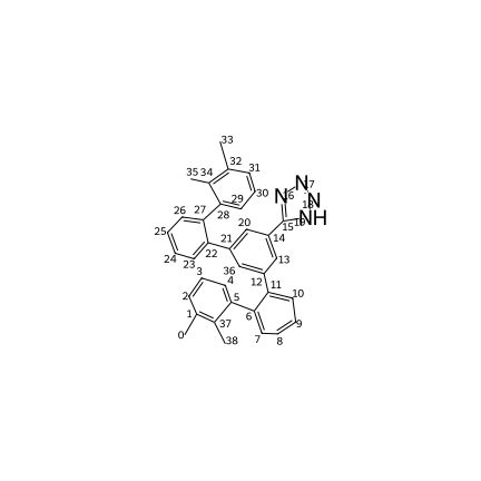 Cc1cccc(-c2ccccc2-c2cc(-c3nnn[nH]3)cc(-c3ccccc3-c3cccc(C)c3C)c2)c1C